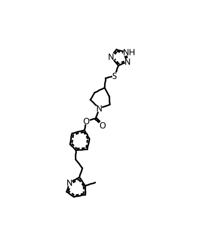 Cc1cccnc1CCc1ccc(OC(=O)N2CCC(CSc3nc[nH]n3)CC2)cc1